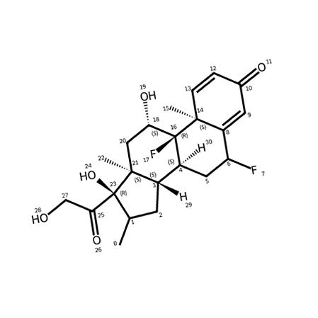 CC1C[C@H]2[C@@H]3CC(F)C4=CC(=O)C=C[C@]4(C)[C@@]3(F)[C@@H](O)C[C@]2(C)[C@@]1(O)C(=O)CO